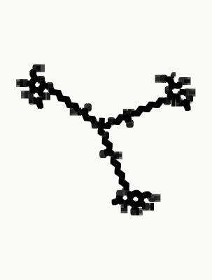 CC(=O)NC1C(OCCCCCCNC(=O)CCOCC(C)(COCCC(=O)NCCCCCCOC(OC(CO)[C@@H](C)O)[C@H](CO)NC(C)=O)OCCC(=O)NCCCCCCOC2OC(CO)C(O)C(O)C2NC(C)=O)CC(CO)C(O)C1O